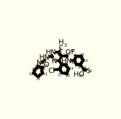 CC1=C(C(=O)Nc2cc(C(O)=S)ccc2F)C(c2ccccc2Cl)N=C(Nc2nc3ccccc3o2)N1